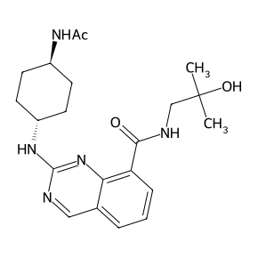 CC(=O)N[C@H]1CC[C@H](Nc2ncc3cccc(C(=O)NCC(C)(C)O)c3n2)CC1